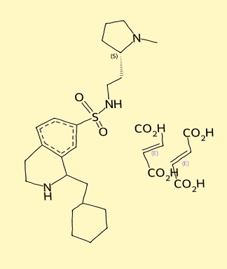 CN1CCC[C@H]1CCNS(=O)(=O)c1ccc2c(c1)C(CC1CCCCC1)NCC2.O=C(O)/C=C/C(=O)O.O=C(O)/C=C/C(=O)O